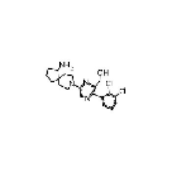 NC1CCCC12CCN(c1cnc(-c3cccc(Cl)c3Cl)c(CO)n1)CC2